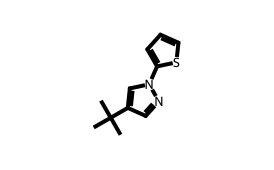 CC(C)(C)c1cnn(-c2cccs2)c1